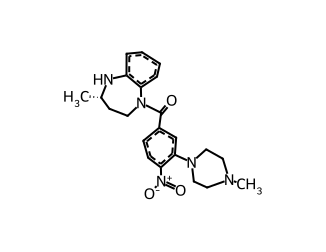 C[C@H]1CCN(C(=O)c2ccc([N+](=O)[O-])c(N3CCN(C)CC3)c2)c2ccccc2N1